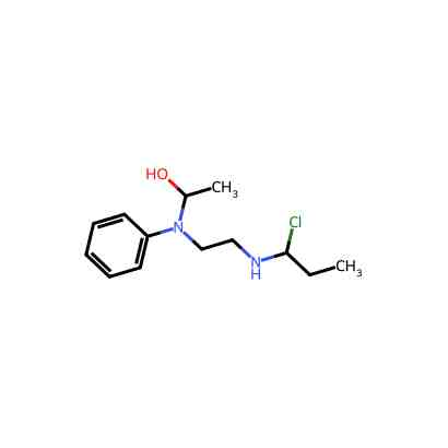 CCC(Cl)NCCN(c1ccccc1)C(C)O